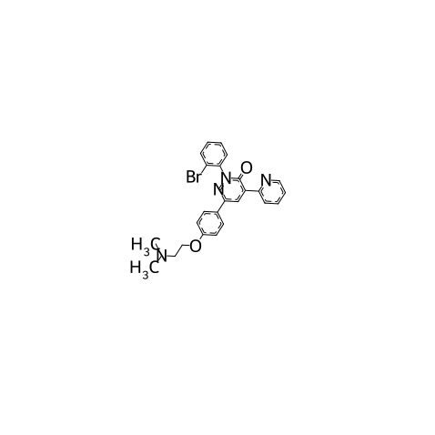 CN(C)CCOc1ccc(-c2cc(-c3ccccn3)c(=O)n(-c3ccccc3Br)n2)cc1